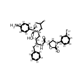 CC(C)CN(C[C@@H](O)[C@H](Cc1ccccc1)NC(=O)[C@@H]1CN(c2cccc(F)c2)C(=O)O1)S(=O)(=O)c1ccc(N)cc1